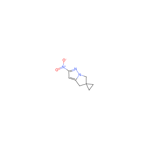 O=[N+]([O-])c1cc2n(n1)CC1(CC1)C2